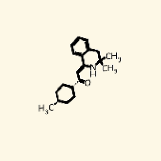 CC1(C)Cc2ccccc2/C(=C/C(=O)[C@H]2CC[C@H](C)CC2)N1